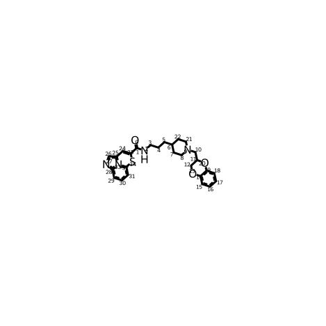 O=C(NCCCC1CCN(CC2COc3ccccc3O2)CC1)C1=Cc2cnc3cccc(n23)S1